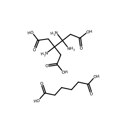 NC(N)(CC(=O)O)C(N)(CC(=O)O)CC(=O)O.O=C(O)CCCCC(=O)O